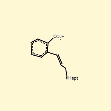 CCCCCCCC/C=C/c1ccccc1C(=O)O